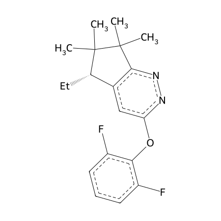 CC[C@H]1c2cc(Oc3c(F)cccc3F)nnc2C(C)(C)C1(C)C